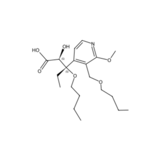 CCCCOCc1c([C@](CC)(OCCCC)[C@H](O)C(=O)O)ccnc1OC